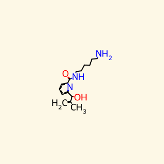 C=C(C)C(O)c1cccc(C(=O)NCCCCCCN)n1